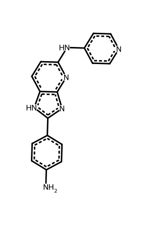 Nc1ccc(-c2nc3nc(Nc4ccncc4)ccc3[nH]2)cc1